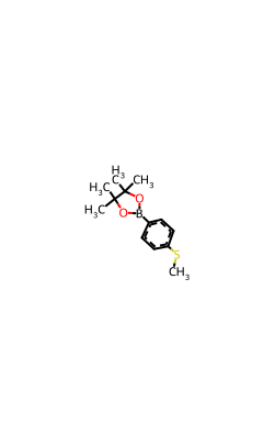 CSc1ccc(B2OC(C)(C)C(C)(C)O2)cc1